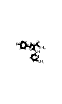 Cc1cccc(Nc2sc(-c3ccc(F)cc3)cc2C(N)=O)n1